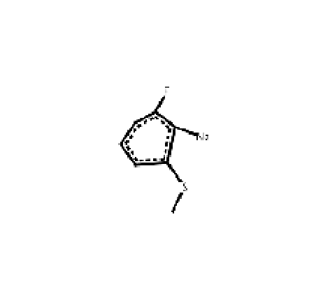 CSc1cccc(F)[c]1[Na]